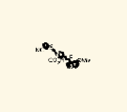 COc1ccc2nccc(C(F)CC[C@@H]3CCN(CCCSc4cccc(C#N)c4)C[C@@H]3C(=O)O)c2c1